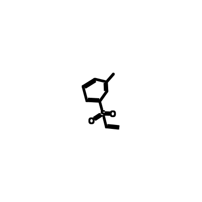 C=CS(=O)(=O)c1cccc(C)c1